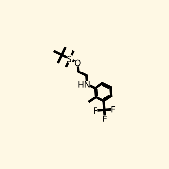 Cc1c(NCCO[Si](C)(C)C(C)(C)C)cccc1C(F)(F)F